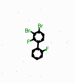 Fc1ccccc1-c1ccc(Br)c(Br)c1F